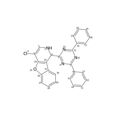 ClC1=CNC(c2nc(-c3ccccc3)nc(-c3ccccc3)n2)c2c1oc1ccccc21